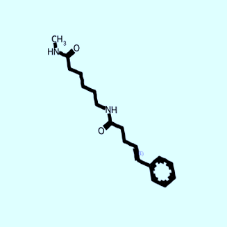 CNC(=O)CCCCCNC(=O)CC/C=C/c1ccccc1